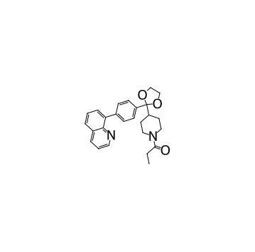 CCC(=O)N1CCC(C2(c3ccc(-c4cccc5cccnc45)cc3)OCCO2)CC1